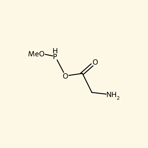 COPOC(=O)CN